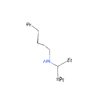 CCCC(CC)NCCCC(C)C